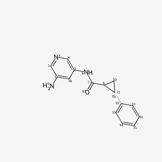 Nc1cncc(NC(=O)C2C[C@@H]2c2ccccc2)c1